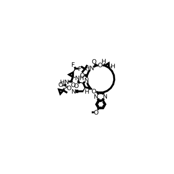 COc1ccc2nc3c(nc2c1)O[C@H]1CN(C(=O)[C@H](C(C)(C)C)NC(=O)O[C@@H]2C[C@H]2CCCCCC3)[C@H](C(=O)N[C@]2(C(=O)NS(=O)(=O)C3(C)CC3)C[C@H]2C(F)F)[C@@H]1CC#N